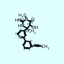 CC#Cc1cccc(-c2cc([C@@]3(C)NC(=N)N(C)C(=O)C3O)ccn2)c1